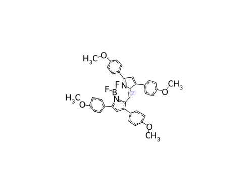 COc1ccc(C2=CC(c3ccc(OC)cc3)=N/C2=C\c2c(-c3ccc(OC)cc3)cc(-c3ccc(OC)cc3)n2B(F)F)cc1